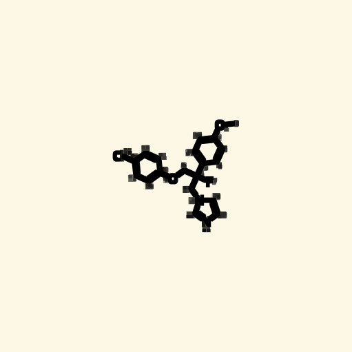 COc1ccc(C(F)(COc2ccc(Cl)cc2)Cn2ccnc2)cc1